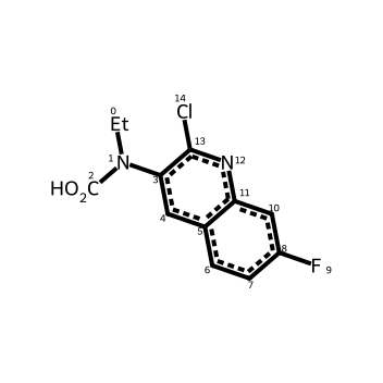 CCN(C(=O)O)c1cc2ccc(F)cc2nc1Cl